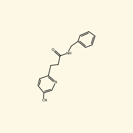 N#Cc1ccc(CCC(=O)NCc2ccccc2)nc1